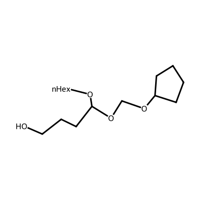 CCCCCCOC(CCCO)OCOC1CCCC1